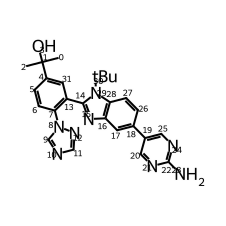 CC(C)(O)c1ccc(-n2cncn2)c(-c2nc3cc(-c4cnc(N)nc4)ccc3n2C(C)(C)C)c1